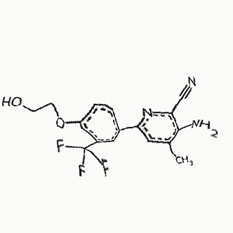 Cc1cc(-c2ccc(OCCO)c(C(F)(F)F)c2)nc(C#N)c1N